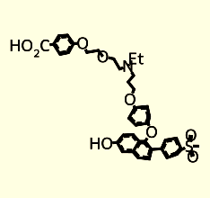 CCN(CCCOc1ccc(Oc2c(-c3ccc(S(C)(=O)=O)cc3)ccc3cc(O)ccc23)cc1)CCOCCOc1ccc(C(=O)O)cc1